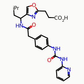 CC(C)CC(NC(=O)Cc1ccc(NC(=O)Nc2ccccn2)cc1)c1coc(CCC(=O)O)n1